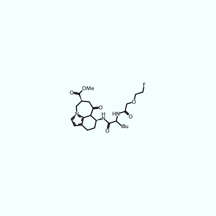 CCC(C)C(NC(=O)COCCF)C(=O)N[C@H]1CCc2ccn3c2C1C(=O)C[C@H](C(=O)OC)C3